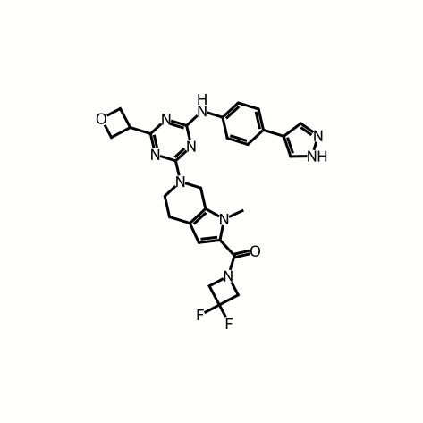 Cn1c(C(=O)N2CC(F)(F)C2)cc2c1CN(c1nc(Nc3ccc(-c4cn[nH]c4)cc3)nc(C3COC3)n1)CC2